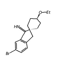 CCO[C@H]1CC[C@]2(CC1)Cc1ccc(Br)cc1C2=N